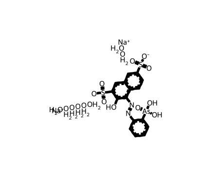 O.O.O.O.O.O.O.O.O=S(=O)([O-])c1ccc2c(N=Nc3ccccc3[As](=O)(O)O)c(O)c(S(=O)(=O)[O-])cc2c1.[Na+].[Na+]